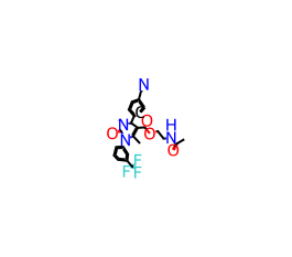 CC(=O)NCCOC(=O)C1=C(C)N(c2cccc(C(F)(F)F)c2)C(=O)N(C)C1c1ccc(C#N)cc1